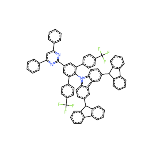 FC(F)(F)c1ccc(-c2cc(-c3nc(-c4ccccc4)cc(-c4ccccc4)n3)cc(-c3ccc(C(F)(F)F)cc3)c2-n2c3ccc(C4c5ccccc5-c5ccccc54)cc3c3cc(C4c5ccccc5-c5ccccc54)ccc32)cc1